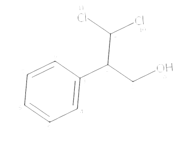 OCC(c1ccccc1)C(Cl)Cl